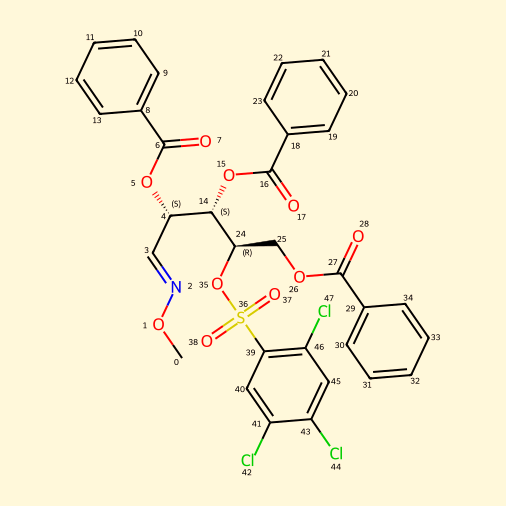 CON=C[C@H](OC(=O)c1ccccc1)[C@H](OC(=O)c1ccccc1)[C@@H](COC(=O)c1ccccc1)OS(=O)(=O)c1cc(Cl)c(Cl)cc1Cl